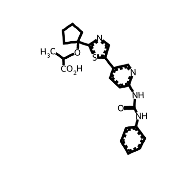 CC(OC1(c2ncc(-c3ccc(NC(=O)Nc4ccccc4)nc3)s2)CCCC1)C(=O)O